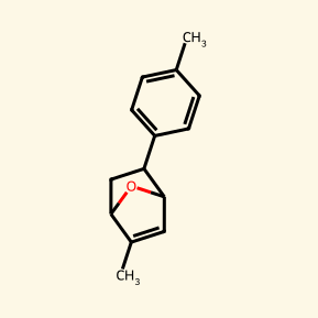 CC1=CC2OC1CC2c1ccc(C)cc1